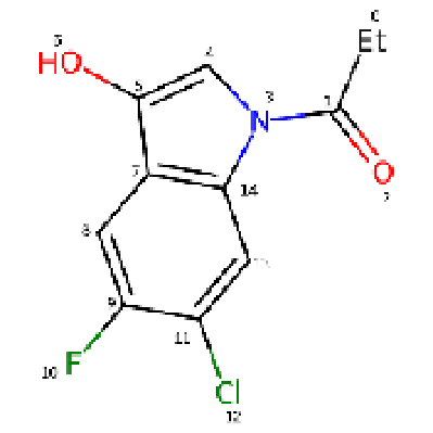 CCC(=O)n1cc(O)c2cc(F)c(Cl)cc21